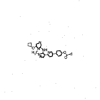 Cn1ncc(-c2ccc(-c3ccc(OC(=O)C4CC4)cc3)cn2)c1Nc1cncc(OC2CCC2)n1